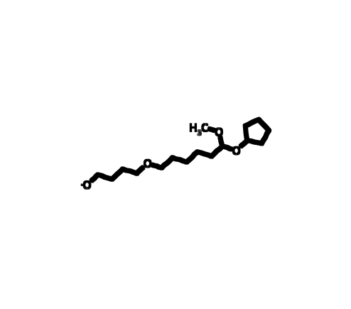 COC(CCCCCOCCCC[O])OC1CCCC1